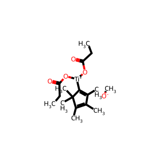 CCC(=O)[O][Ti+]([O]C(=O)CC)[C]1=C(C)C(C)=C(C)C1(C)C.C[O-]